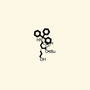 CC(C)(C)OC(=O)[C@H](CCCO)C[C@H](NC(c1ccccc1)(c1ccccc1)c1ccccc1)C(=O)O